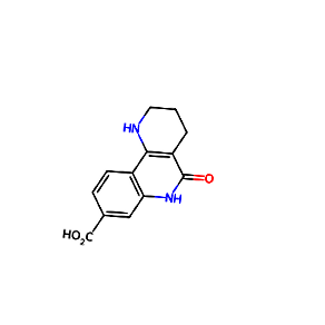 O=C(O)c1ccc2c3c(c(=O)[nH]c2c1)CCCN3